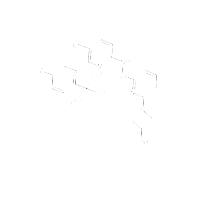 OC1CN(c2cccc(SNc3ccc(Cl)c(-c4cc(F)ccc4C(O)(O)O)n3)n2)C1